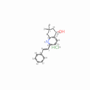 CC1(C)Cc2nc(C=Cc3ccccc3)ccc2C(O)C1.Cl